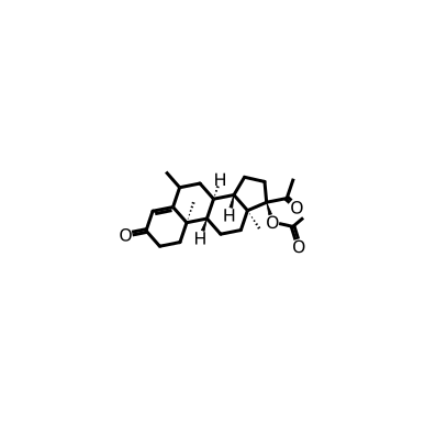 CC(=O)O[C@]1(C(C)=O)CC[C@H]2[C@@H]3CC(C)C4=CC(=O)CC[C@]4(C)[C@H]3CC[C@@]21C